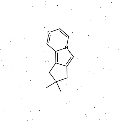 CC1(C)Cc2cn3ccncc3c2C1